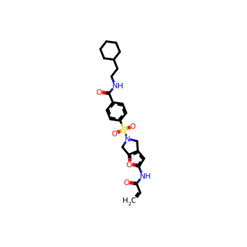 C=CC(=O)Nc1cc2c(o1)CN(S(=O)(=O)c1ccc(C(=O)NCCC3CCCCC3)cc1)C2